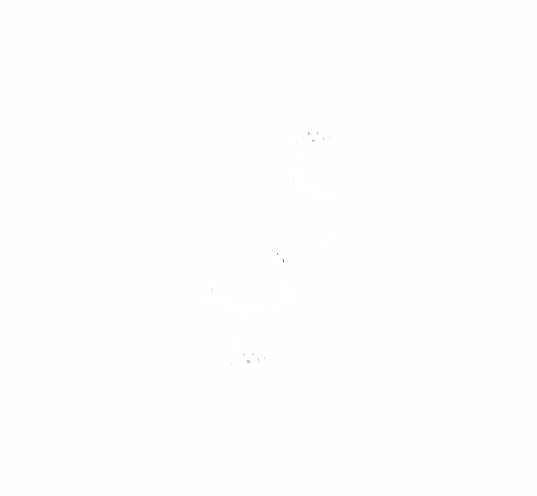 COC(=O)CN1CCC(OC)CC1